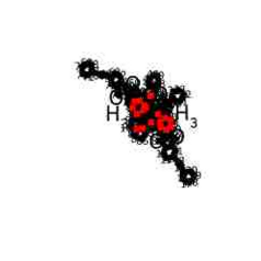 C[Si]1(c2ccc(N3C(=O)c4ccc(C#Cc5ccccc5)cc4C3=O)cc2)O[Si]2(c3ccccc3)O[Si]3(c4ccccc4)O[Si]4(c5ccccc5)O[Si](C)(c5ccc(N6C(=O)c7ccc(C#Cc8ccccc8)cc7C6=O)cc5)O[Si]5(c6ccccc6)O[Si](c6ccccc6)(O[Si](c6ccccc6)(O1)O[Si](c1ccccc1)(O5)O[Si](c1ccccc1)(O2)O4)O3